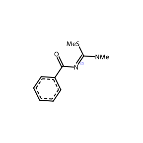 CN/C(=N/C(=O)c1ccccc1)SC